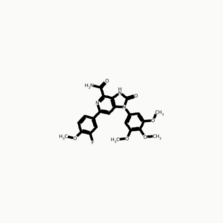 COc1ccc(-c2cc3c([nH]c(=O)n3-c3cc(OC)c(OC)c(OC)c3)c(C(N)=O)n2)cc1F